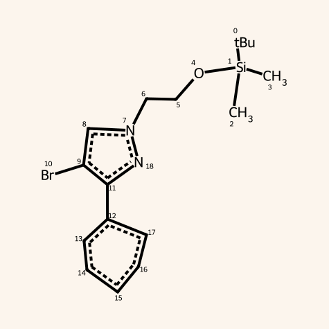 CC(C)(C)[Si](C)(C)OCCn1cc(Br)c(-c2ccccc2)n1